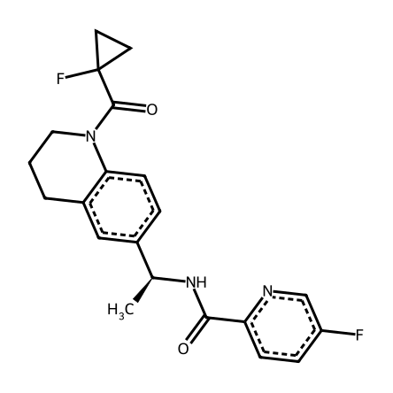 C[C@H](NC(=O)c1ccc(F)cn1)c1ccc2c(c1)CCCN2C(=O)C1(F)CC1